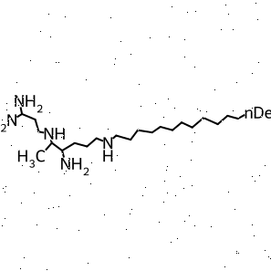 CCCCCCCCCCCCCCCCCCCCCCNCCCC(N)C(C)NCCC(N)N